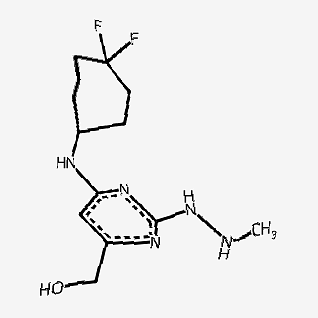 CNNc1nc(CO)cc(NC2CCC(F)(F)CC2)n1